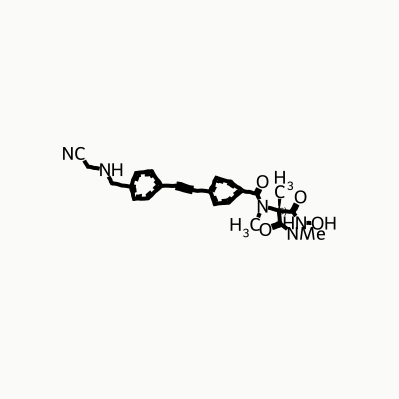 CNC(=O)[C@@](C)(C(=O)NO)N(C)C(=O)c1ccc(C#Cc2ccc(CNCC#N)cc2)cc1